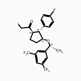 C[C@@H](O[C@H]1CC[C@@H](C(=O)CI)[C@@H]1c1ccc(F)cc1)c1cc(C(F)(F)F)cc(C(F)(F)F)c1